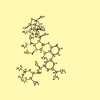 COc1c(CN2O[C@@H](CO)[C@@H]([C@H](C)O)[C@H]2C(=O)N[C@H]2C[C@H]3C[C@@H]([C@@H]2C)C3(C)C)cccc1-c1cc(C(=O)NC(CN(C)C)C(C)C)cc(N(C)C)c1